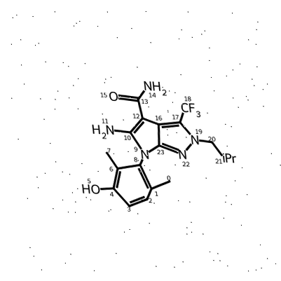 Cc1ccc(O)c(C)c1-n1c(N)c(C(N)=O)c2c(C(F)(F)F)n(CC(C)C)nc21